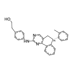 Cc1ccccc1[C@H]1Cc2cnc(Nc3ccc(CCO)cc3)nc2-c2ccccc21